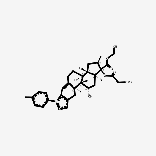 COCC(=O)O[C@]1(C(=O)SCC#N)[C@H](C)C[C@H]2[C@@H]3CCC4=Cc5c(cnn5-c5ccc(F)cc5)C[C@]4(C)[C@@]3(F)[C@@H](O)C[C@@]21C